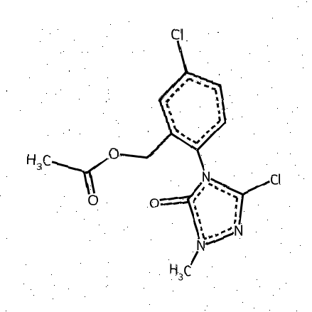 CC(=O)OCc1cc(Cl)ccc1-n1c(Cl)nn(C)c1=O